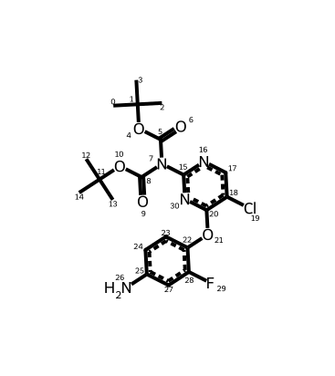 CC(C)(C)OC(=O)N(C(=O)OC(C)(C)C)c1ncc(Cl)c(Oc2ccc(N)cc2F)n1